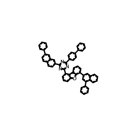 c1ccc(-c2ccc(-c3nc(-c4ccc5ccc(-c6ccccc6)cc5c4)nc(-c4cccc5oc6c(-c7cc(-c8ccccc8)c8ccccc8c7)cccc6c45)n3)cc2)cc1